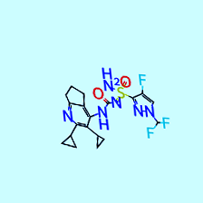 N[S@@](=O)(=NC(=O)Nc1c2c(nc(C3CC3)c1C1CC1)CCC2)c1nn(C(F)F)cc1F